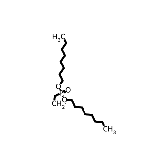 [CH2]CP(=O)(OCCCCCCCC)OCCCCCCCC